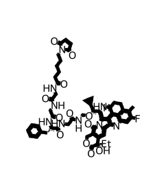 CC[C@@]1(O)C(=O)OCc2c1cc1c3nc4cc(F)c(C)c5c4c4c3c(n1c2=O)=C([C@@H](OCNC(=O)CNC(=O)[C@H](Cc1ccccc1)NC(=O)CNC(=O)CNC(=O)CCCCCN1C(=O)C=CC1=O)C1=CC1)N[C@H]4CC5